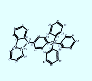 C1=CN2c3ccccc3N(c3ccc([Si](c4ccccc4)(c4ccccc4)c4ccccc4)cc3)N2C=C1